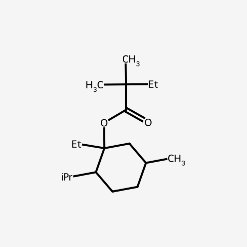 CCC(C)(C)C(=O)OC1(CC)CC(C)CCC1C(C)C